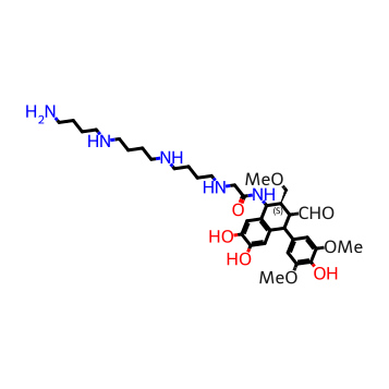 COC[C@@H]1C(NC(=O)CNCCCCNCCCCNCCCCN)c2cc(O)c(O)cc2C(c2cc(OC)c(O)c(OC)c2)C1C=O